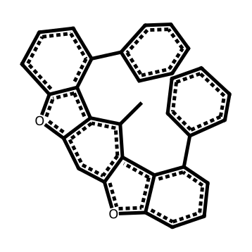 Cc1c2c(cc3oc4cccc(-c5ccccc5)c4c13)oc1cccc(-c3ccccc3)c12